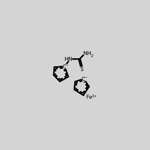 NC(=S)N[c-]1cccc1.[Fe+2].c1cc[cH-]c1